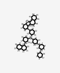 c1ccc(-c2cccc(-c3ccc(N(c4cccc(-c5cccc6ccccc56)c4)c4cccc(-c5cccc6oc7c8ccccc8ccc7c56)c4)cc3)c2)cc1